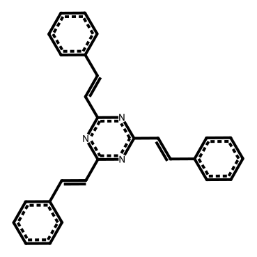 C(=Cc1nc(C=Cc2ccccc2)nc(C=Cc2ccccc2)n1)c1ccccc1